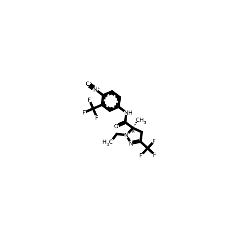 [C-]#[N+]c1ccc(NC(=O)[C@@]2(C)CC(C(F)(F)F)=NN2CC)cc1C(F)(F)F